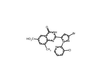 Cc1cc(C(=O)O)cc2c(=O)[nH]c(-c3cc(Br)nn3-c3ncccc3Cl)nc12